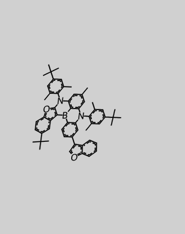 Cc1cc2c3c(c1)N(c1c(C)cc(C(C)(C)C)cc1C)c1oc4ccc(C(C)(C)C)cc4c1B3c1ccc(-c3coc4ccccc34)cc1N2c1c(C)cc(C(C)(C)C)cc1C